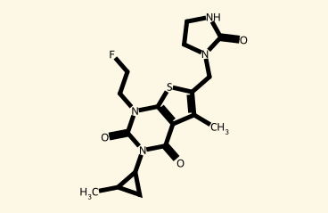 Cc1c(CN2CCNC2=O)sc2c1c(=O)n(C1CC1C)c(=O)n2CCF